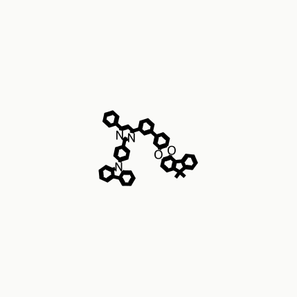 CC1(C)c2ccccc2-c2c1ccc1c2Oc2ccc(-c3cccc(-c4cc(-c5ccccc5)nc(-c5ccc(-n6c7ccccc7c7ccccc76)cc5)n4)c3)cc2O1